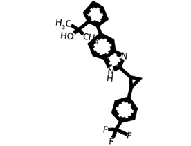 CC(C)(O)c1ccccc1-c1ccc2[nH]c(C3CC3c3ccc(C(F)(F)F)cc3)nc2c1